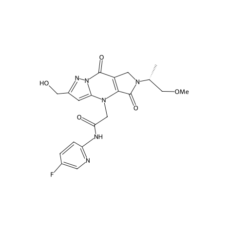 COC[C@@H](C)N1Cc2c(n(CC(=O)Nc3ccc(F)cn3)c3cc(CO)nn3c2=O)C1=O